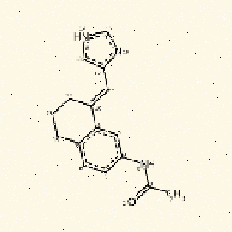 CC(=O)Nc1ccc2c(c1)/C(=C/c1c[nH]cn1)CCC2